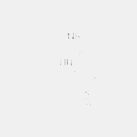 CCn1c2ccccc2c2cc(NC(=O)[C@@H]3C/C(=C\c4ccccc4)CN3)ccc21